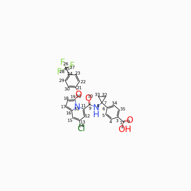 O=C(O)c1ccc(C2(NC(=O)c3cc(Cl)cc4ccc(Oc5ccc(C(F)(F)F)cc5)n34)CC2)cc1